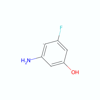 Nc1[c]c(F)cc(O)c1